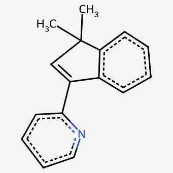 CC1(C)C=C(c2ccccn2)c2ccccc21